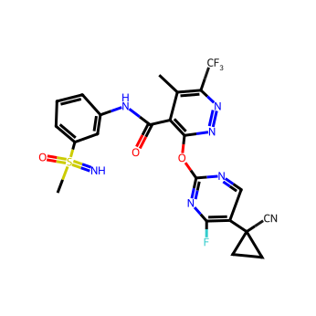 Cc1c(C(F)(F)F)nnc(Oc2ncc(C3(C#N)CC3)c(F)n2)c1C(=O)Nc1cccc(S(C)(=N)=O)c1